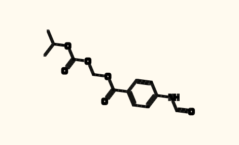 CC(C)OC(=O)OCOC(=O)c1ccc(NC=O)cc1